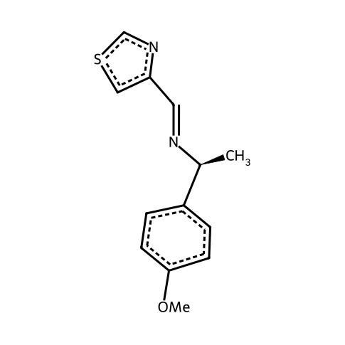 COc1ccc([C@H](C)/N=C/c2cscn2)cc1